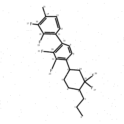 CCCC1CCC(c2ccc(-c3ccc(C)c(F)c3F)c(F)c2F)CC1(F)F